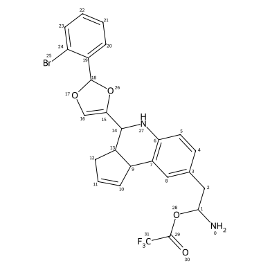 NC(Cc1ccc2c(c1)C1C=CCC1C(C1=COC(c3ccccc3Br)O1)N2)OC(=O)C(F)(F)F